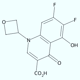 O=C(O)c1cn(C2COC2)c2cc(F)c(F)c(O)c2c1=O